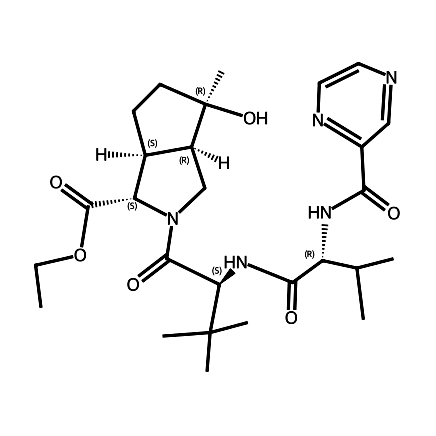 CCOC(=O)[C@@H]1[C@H]2CC[C@@](C)(O)[C@H]2CN1C(=O)[C@@H](NC(=O)[C@H](NC(=O)c1cnccn1)C(C)C)C(C)(C)C